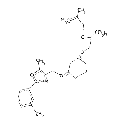 C=C(C)COC(CO[C@@H]1CCC[C@H](OCc2nc(-c3cccc(C)c3)oc2C)C1)C(=O)O